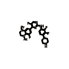 CC(=O)N1CCN(C(C)C)c2cc(-c3nc(Nc4ccc(N5CCNCC5)c(F)c4F)ncc3F)cc(F)c21